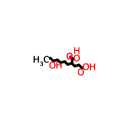 CCC(O)CCCCC(CCC(=O)O)C(=O)O